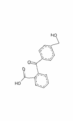 O=C(O)c1ccccc1C(=O)c1ccc(CO)cc1